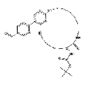 CC(C)(C)OC(=O)N[C@@H]1CCCCNc2nc(ncc2-c2ccc(C=O)cn2)NCCCCCCNC1=O